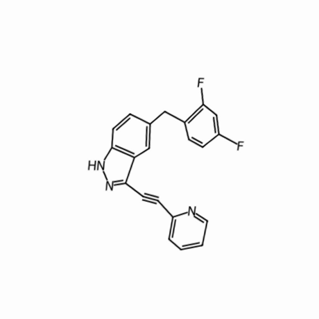 Fc1ccc(Cc2ccc3[nH]nc(C#Cc4ccccn4)c3c2)c(F)c1